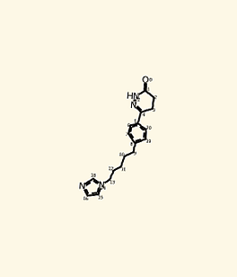 O=C1CCC(c2ccc(CCCCCn3ccnc3)cc2)=NN1